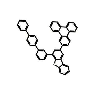 c1ccc(-c2ccc(-c3cccc(-c4cc(-c5ccc6c7ccccc7c7ccccc7c6c5)cc5c4oc4ccccc45)c3)cc2)cc1